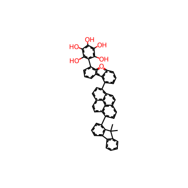 CC1(C)c2ccccc2-c2cccc(-c3ccc4ccc5c(-c6cccc7oc8c(-c9c(O)c(O)c(O)c(O)c9O)cccc8c67)ccc6ccc3c4c65)c21